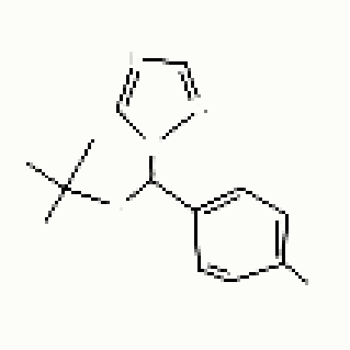 CC(C)(C)SC(c1ccc(Cl)cc1)n1cncn1